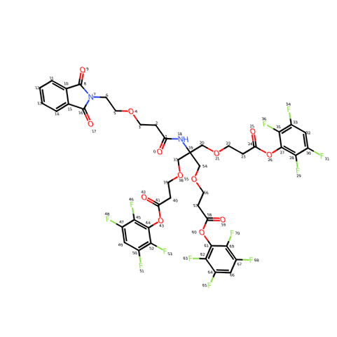 O=C(CCOCCN1C(=O)c2ccccc2C1=O)NC(COCCC(=O)Oc1c(F)c(F)cc(F)c1F)(COCCC(=O)Oc1c(F)c(F)cc(F)c1F)COCCC(=O)Oc1c(F)c(F)cc(F)c1F